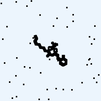 C=C/C=C\CCCCC1=C(C)C/C(=C\C=C2\C=CCCC2=C)OP(N(C)C)O1